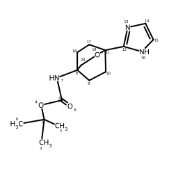 CC(C)(C)OC(=O)NC12CCC(c3ncc[nH]3)(CC1)OC2